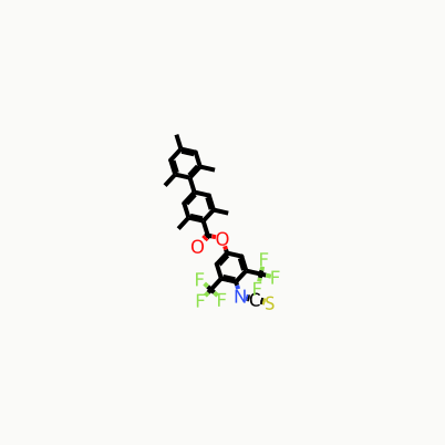 Cc1cc(C)c(-c2cc(C)c(C(=O)Oc3cc(C(F)(F)F)c(N=C=S)c(C(F)(F)F)c3)c(C)c2)c(C)c1